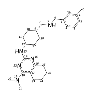 Cc1cccc(CNC[C@H]2CC[C@@H](Nc3nc4c(c(N(C)C)n3)CCCC4)CC2)c1